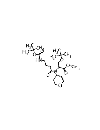 COC(=O)C(COC(C)(C)C)N(C(=O)CCCNC(=O)OC(C)(C)C)C1CCOCC1